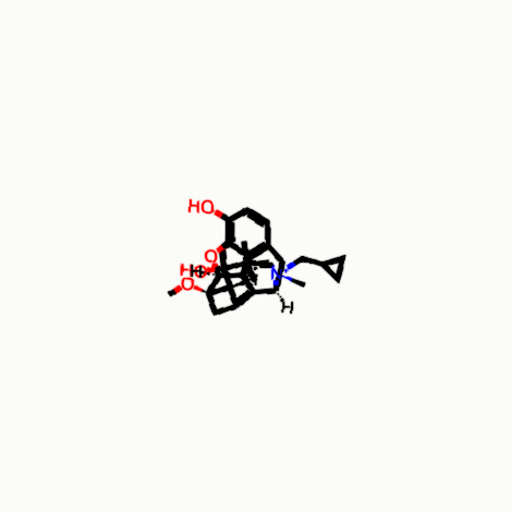 CO[C@@]12CC(=C3[C@@H]4Cc5ccc(O)c6c5[C@]3(CC[N@+]4(C)CC3CC3)[C@@H]1O6)[C@H]2C(C)(O)C(C)(C)C